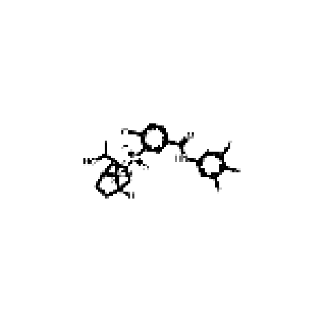 CC(O)C[C@@]1(O)C2CC[C@H]1C[C@H](S(=O)(=O)c1cc(C(=O)Nc3cc(F)c(F)c(F)c3)ccc1Cl)C2